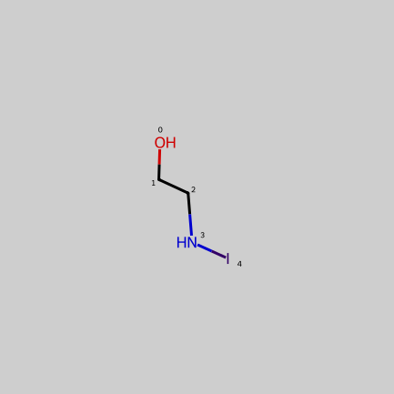 OCCNI